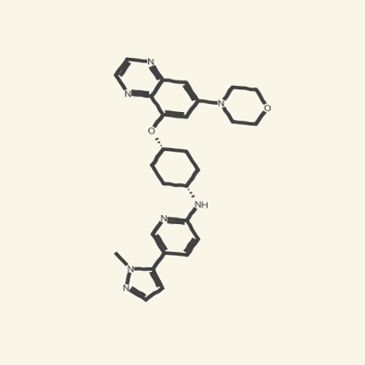 Cn1nccc1-c1ccc(N[C@H]2CC[C@@H](Oc3cc(N4CCOCC4)cc4nccnc34)CC2)nc1